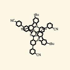 CC(C)(C)c1ccc2c(c1)c1cc(C(C)(C)C)ccc1n2-c1cc(-c2cccc(C#N)c2)ccc1-c1nc(-c2ccc(-c3ccc(C#N)cc3)cc2)nc(-c2ccc(-c3cccc(C#N)c3)cc2-n2c3ccc(C(C)(C)C)cc3c3cc(C(C)(C)C)ccc32)n1